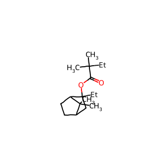 CCC(C)(C)C(=O)OC1(CC)CC2CCC1C2(C)C